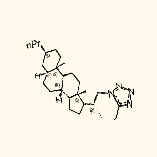 CCC[C@H]1CC[C@]2(C)C3CC[C@@]4(C)C(CCC4[C@@H](C)Cn4nnnc4C)[C@@H]3CC[C@@H]2C1